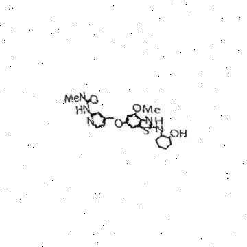 CNC(=O)Nc1cc(COc2cc(OC)c3nc(NC4CCCC[C@@H]4O)sc3c2)ccn1